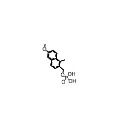 COc1ccc2c(C)c(COP(=O)(O)O)ccc2c1